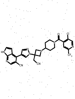 N#CCC1(n2cc(-c3c(C#N)cnc4[nH]ccc34)cn2)CN(C2CCN(C(=O)c3cc(C(F)(F)F)ncc3Cl)CC2)C1